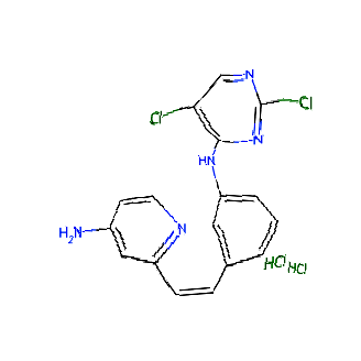 Cl.Cl.Nc1ccnc(/C=C\c2cccc(Nc3nc(Cl)ncc3Cl)c2)c1